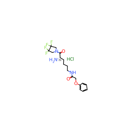 Cl.N[C@@H](CCCCNC(=O)COc1ccccc1)C(=O)N1CC(F)(F)C(F)(F)C1